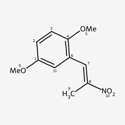 COc1ccc(OC)c(C=C(C)[N+](=O)[O-])c1